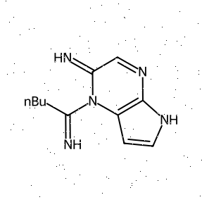 CCCCC(=N)n1c(=N)cnc2[nH]ccc21